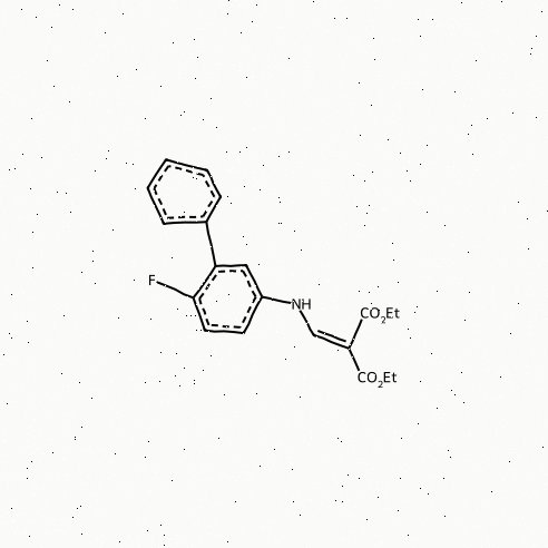 CCOC(=O)C(=CNc1ccc(F)c(-c2ccccc2)c1)C(=O)OCC